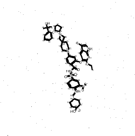 CCOc1nc2[nH]cc(F)c2cc1Oc1cc(N2CCC3(CC2)CN([C@H]2CCC[C@H]2c2ccccc2C(C)(C)O)C3)ccc1C(=O)NS(=O)(=O)c1ccc(NC[C@H]2CC[C@](C)(O)CC2)c([N+](=O)[O-])c1